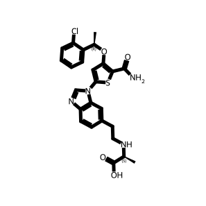 C[C@H](NCCc1ccc2ncn(-c3cc(O[C@H](C)c4ccccc4Cl)c(C(N)=O)s3)c2c1)C(=O)O